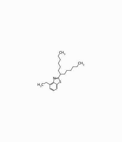 CCCCCCC(CCCCCC)c1nc2c(CC)cccc2s1